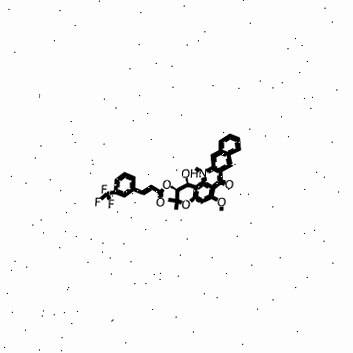 COc1cc2c(c3c1c(=O)c1cc4ccccc4cc1n3C)[C@H](O)[C@H](OC(=O)C=Cc1cccc(C(F)(F)F)c1)C(C)(C)O2